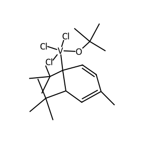 CC1=CC(C(C)(C)C)[C](C(C)(C)C)([V]([Cl])([Cl])([Cl])[O]C(C)(C)C)C=C1